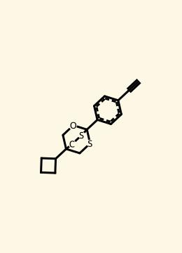 C#Cc1ccc(C23OCC(C4CCC4)(CS2)CS3)cc1